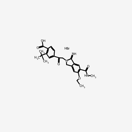 Br.CCOc1cc2c(cc1C(=O)NC)C(=N)N(CC(=O)c1ccc(C(=O)O)c(C(C)(C)C)c1)C2